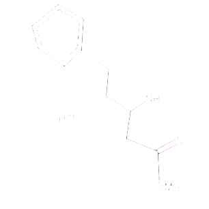 COC(=O)CC(N)CCc1ccccc1.Cl